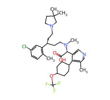 Cc1ccc(Cl)cc1[C@@H](CCN1CCC(C)(C)C1)CCN(C)[C@H](C(=O)O)c1cncc(C)c1C1CCC(OC(F)(F)F)CC1